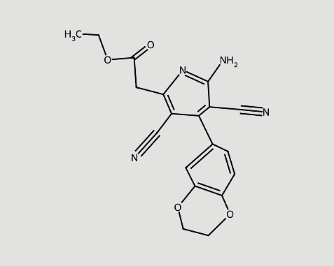 CCOC(=O)Cc1nc(N)c(C#N)c(-c2ccc3c(c2)OCCO3)c1C#N